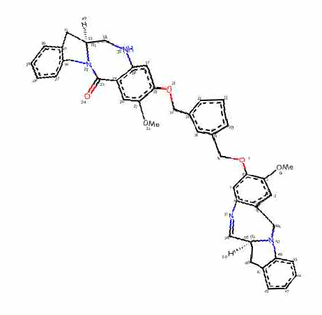 COc1cc2c(cc1OCc1cccc(COc3cc4c(cc3OC)C(=O)N3c5ccccc5C[C@H]3CN4)c1)N=C[C@@H]1Cc3ccccc3N1C2